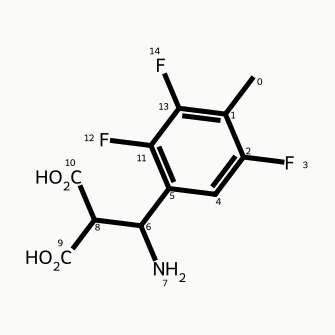 Cc1c(F)cc(C(N)C(C(=O)O)C(=O)O)c(F)c1F